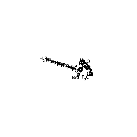 O=C(c1cc(Cc2ccc(C(F)(F)F)o2)cs1)c1cncnc1N[C@@H]1C[C@H](COSBr)[C@@H](OS(#P)=PP=PP=PP=PP=PP=PP=PP=PP)C1